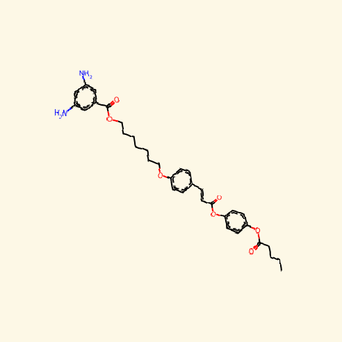 CCCCC(=O)Oc1ccc(OC(=O)/C=C/c2ccc(OCCCCCCCOC(=O)c3cc(N)cc(N)c3)cc2)cc1